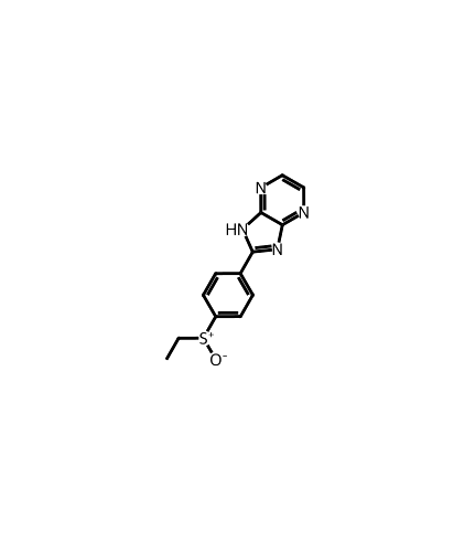 CC[S+]([O-])c1ccc(-c2nc3nccnc3[nH]2)cc1